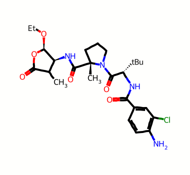 CCO[C@@H]1OC(=O)C(C)[C@@H]1NC(=O)[C@]1(C)CCCN1C(=O)[C@@H](NC(=O)c1ccc(N)c(Cl)c1)C(C)(C)C